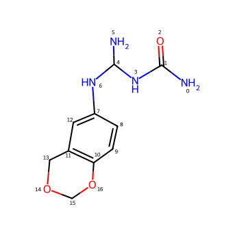 NC(=O)NC(N)Nc1ccc2c(c1)COCO2